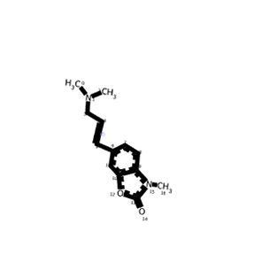 CN(C)C/C=C/c1ccc2c(c1)oc(=O)n2C